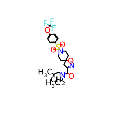 C=C(C)CN(CC)C(=O)C1=NOC2(CCN(S(=O)(=O)c3ccc(OC(F)(F)F)cc3)CC2)C1